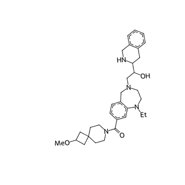 CCN1CCN(CC(O)C2Cc3ccccc3CN2)Cc2ccc(C(=O)N3CCC4(CC3)CC(OC)C4)cc21